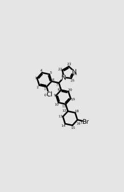 Clc1ccccc1C(c1ccc(C2CCCC(Br)C2)cc1)n1ccnc1